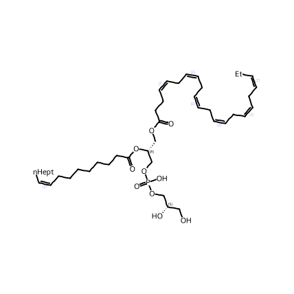 CC/C=C\C/C=C\C/C=C\C/C=C\C/C=C\C/C=C\CCC(=O)OC[C@H](COP(=O)(O)OC[C@@H](O)CO)OC(=O)CCCCCCC/C=C\CCCCCCC